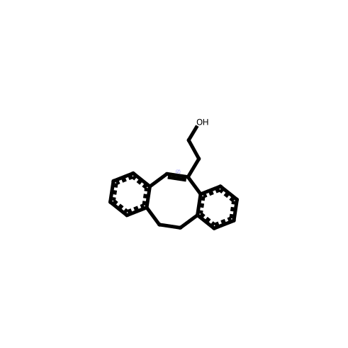 OCC/C1=C/c2ccccc2CCc2ccccc21